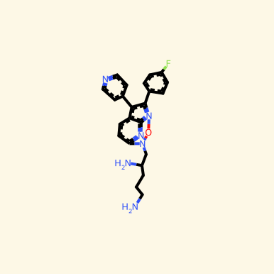 NCCCC(N)CN1On2c(-c3ccc(F)cc3)c(-c3ccncc3)c3ccc1nc32